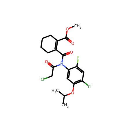 COC(=O)C1=C(C(=O)N(C(=O)CCl)c2cc(OC(C)C)c(Cl)cc2F)CCCC1